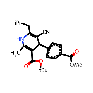 COC(=O)c1ccc(C2C(C#N)=C(CC(C)C)NC(C)=C2C(=O)OC(C)(C)C)cc1